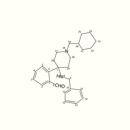 O=Cc1ccccc1C1(NCc2ccccc2)CCN(CC2CCCCC2)CC1